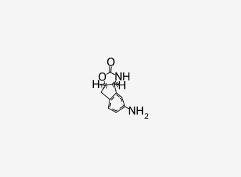 Nc1ccc2c(c1)[C@H]1NC(=O)O[C@H]1C2